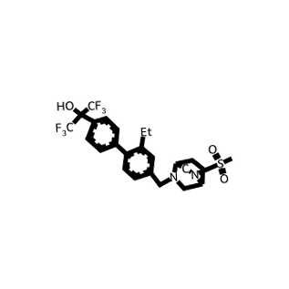 CCc1cc(CN2CC3CCC2CN3S(C)(=O)=O)ccc1-c1ccc(C(O)(C(F)(F)F)C(F)(F)F)cc1